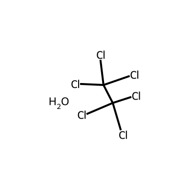 ClC(Cl)(Cl)C(Cl)(Cl)Cl.O